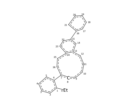 CCc1ccccc1-c1cccccc2cc(-c3ccccc3)ccc2cc1